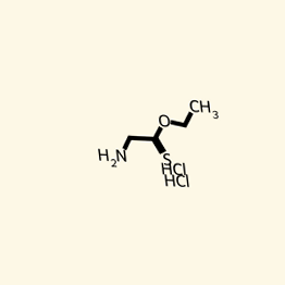 CCOC(=S)CN.Cl.Cl